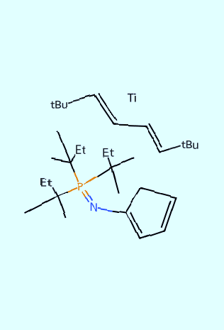 CC(C)(C)C=CC=CC(C)(C)C.CCC(C)(C)P(=NC1=CC=CC1)(C(C)(C)CC)C(C)(C)CC.[Ti]